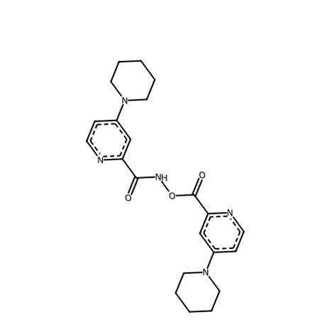 O=C(NOC(=O)c1cc(N2CCCCC2)ccn1)c1cc(N2CCCCC2)ccn1